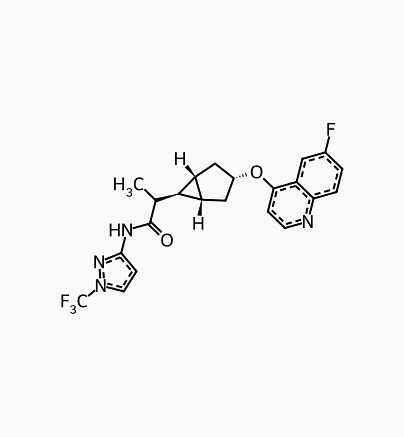 CC(C(=O)Nc1ccn(C(F)(F)F)n1)[C@H]1[C@@H]2C[C@H](Oc3ccnc4ccc(F)cc34)C[C@@H]21